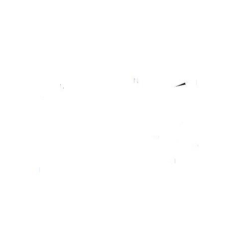 C[C@@H](COS(C)(=O)=O)CN1CCC(c2noc3cc(F)ccc23)CC1